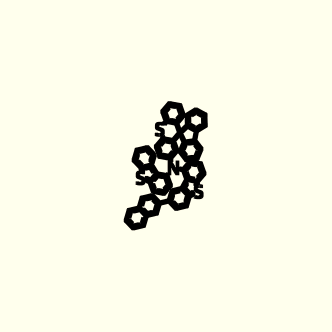 c1ccc2c(c1)Sc1ccc(N(c3cccc4sc5ccccc5c34)c3cccc4sc5ccc(-c6ccc7ccccc7c6)cc5c34)cc1C21c2ccccc2-c2ccccc21